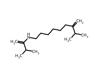 C=C(CCCCCCNC(=C)C(C)C)C(C)C